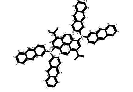 CC(C)c1cc(B(c2ccc3cc4ccccc4cc3c2)c2ccc3cc4ccccc4cc3c2)c2ccc3c(C(C)C)cc(B(c4ccc5cc6ccccc6cc5c4)c4ccc5cc6ccccc6cc5c4)c4ccc1c2c43